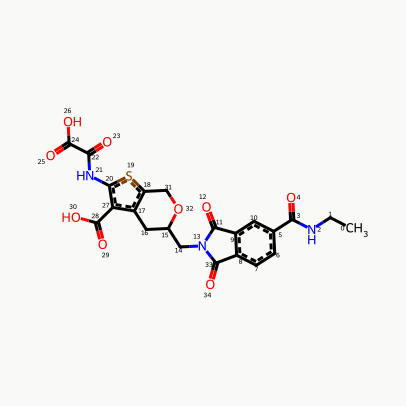 CCNC(=O)c1ccc2c(c1)C(=O)N(CC1Cc3c(sc(NC(=O)C(=O)O)c3C(=O)O)CO1)C2=O